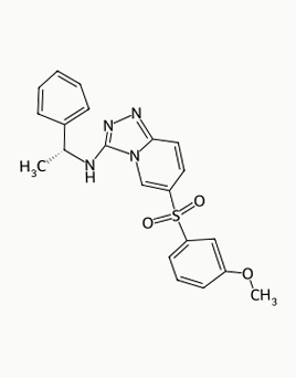 COc1cccc(S(=O)(=O)c2ccc3nnc(N[C@H](C)c4ccccc4)n3c2)c1